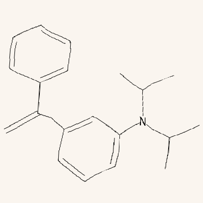 C=C(c1ccccc1)c1cccc(N(C(C)C)C(C)C)c1